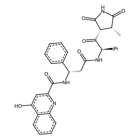 CC(C)[C@@H](NC(=O)C[C@H](NC(=O)c1cc(O)c2ccccc2n1)c1ccccc1)C(=O)[C@@H]1C(=O)NC(=O)[C@@H]1C